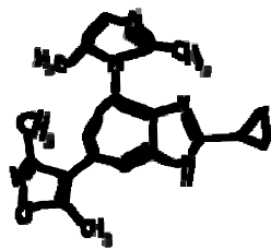 Cc1noc(C)c1-c1cc(-n2c(C)cnc2C)c2nc(C3CC3)[nH]c2c1